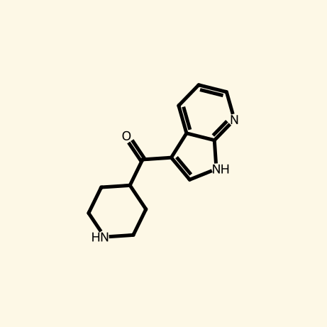 O=C(c1c[nH]c2ncccc12)C1CCNCC1